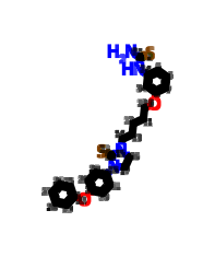 NC(=S)Nc1cccc(OCCCCCN2CCN(c3ccc(Oc4ccccc4)cc3)C2=S)c1